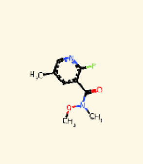 CON(C)C(=O)c1cc(C)cnc1F